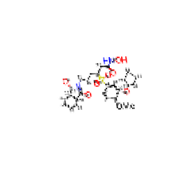 COc1ccc(S(=O)(=O)C(CCCN2C(=O)c3ccccc3C2=O)CC(=O)NO)cc1OC1CCCC1